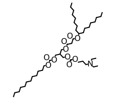 CCCCCCCCCCCCOC(=O)OCC(COC(=O)CC(=O)OC(CCCCCCCC)CCCCCCCC)COC(=O)OCCCN(CC)CC